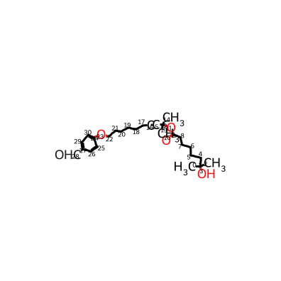 CC(C)(O)CCCCCC(=O)OC(C)(C)CCCCCCCCOc1ccc(C=O)cc1